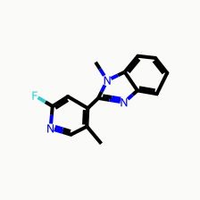 Cc1cnc(F)cc1-c1nc2ccccc2n1C